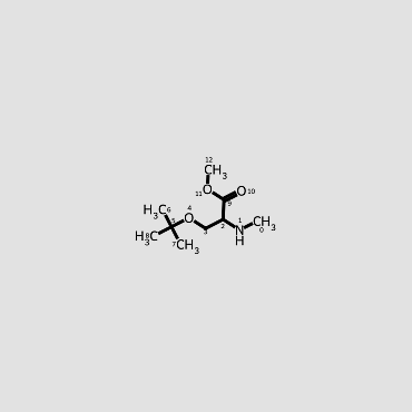 CNC(COC(C)(C)C)C(=O)OC